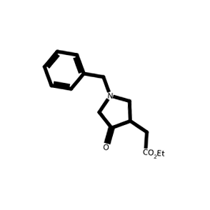 CCOC(=O)CC1CN(Cc2ccccc2)CC1=O